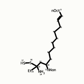 CCCCCCCCC=CCCCCCCCC(CCCCCCCCC)CC(N)(CC)SS